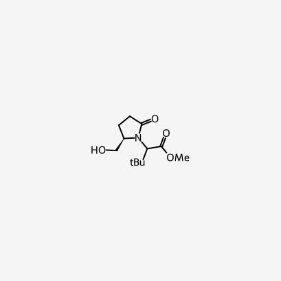 COC(=O)C(N1C(=O)CC[C@@H]1CO)C(C)(C)C